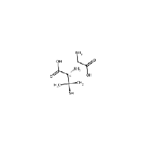 CC(C)(S)[C@@H](N)C(=O)O.NCC(=O)O